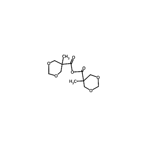 CC1(C(=O)OC(=O)C2(C)COCOC2)COCOC1